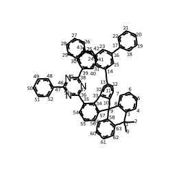 CC1(C)c2ccccc2C2(c3ccc(-c4cc(-c5ccccc5)cc(-c5ccccc5)c4)cc3-c3c(-c4nc(-c5ccccc5)nc(-c5ccccc5)n4)cccc32)c2ccccc21